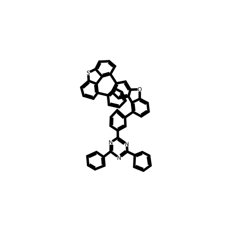 c1ccc(-c2nc(-c3ccccc3)nc(-c3cccc(-c4cccc5oc6cc(-c7cccc8sc9cccc(-c%10ccccc%10)c9c78)ccc6c45)c3)n2)cc1